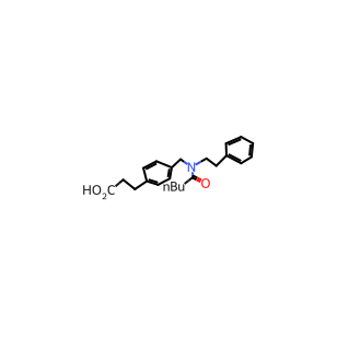 CCCCC(=O)N(CCc1ccccc1)Cc1ccc(CCC(=O)O)cc1